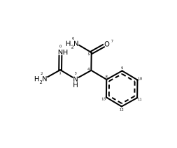 N=C(N)NC(C(N)=O)c1ccccc1